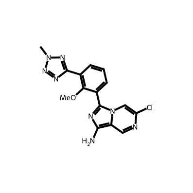 COc1c(-c2nnn(C)n2)cccc1-c1nc(N)c2cnc(Cl)cn12